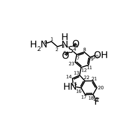 NCCNS(=O)(=O)c1cc(O)cc(-c2c[nH]c3cc(F)ccc23)c1